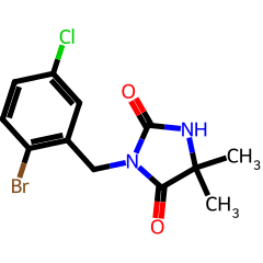 CC1(C)NC(=O)N(Cc2cc(Cl)ccc2Br)C1=O